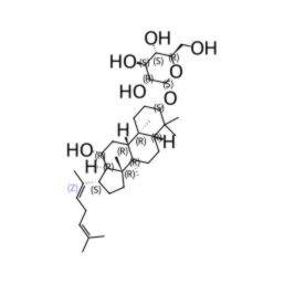 CC(C)=CC/C=C(/C)[C@H]1CC[C@]2(C)[C@@H]1[C@H](O)C[C@@H]1[C@@]3(C)CC[C@H](O[C@H]4O[C@H](CO)[C@@H](O)[C@H](O)[C@H]4O)C(C)(C)[C@@H]3CC[C@]12C